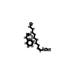 CCCCCCCC/C=C\CCCCCCCC[O].NCc1ccccc1